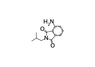 CC(C)CN1C(=O)c2cccc(N)c2C1=O